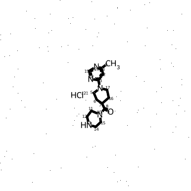 Cc1cc(N2CCC(C(=O)N3CCNCC3)CC2)ncn1.Cl